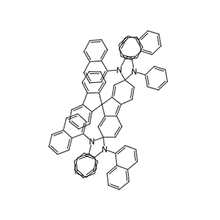 C1=CC(N(c2ccccc2)c2cccc3ccccc23)(N(c2ccccc2)c2cccc3ccccc23)C=C2C1=C1C=CC(N(c3ccccc3)c3cccc4ccccc34)(N(c3ccccc3)c3cccc4ccccc34)C=C1C21c2ccccc2-c2ccccc21